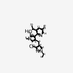 CCn1cc(Cc2cn(C)nc2-c2ncc(F)cc2C(C)O)c(Cl)n1